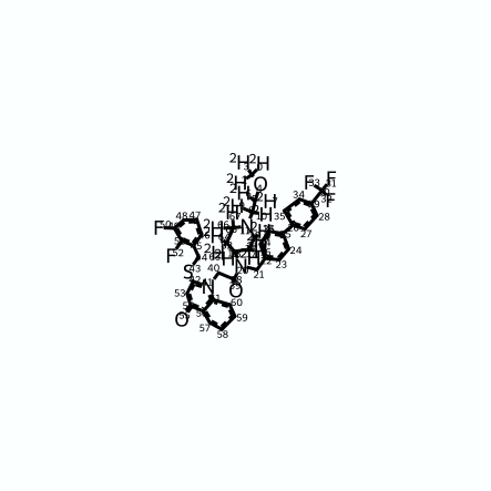 [2H]C([2H])([2H])OC([2H])([2H])C([2H])([2H])N1C([2H])([2H])C([2H])([2H])C([2H])(N(Cc2ccc(-c3ccc(C(F)(F)F)cc3)cc2)C(=O)Cn2c(SCc3cccc(F)c3F)cc(=O)c3ccccc32)C([2H])([2H])C1([2H])[2H]